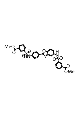 COC(=O)c1cccc(S(=O)(=O)Nc2ccc(-c3nc4cc(NS(=O)(=O)c5cccc(C(=O)OC)c5)ccc4o3)cc2)c1